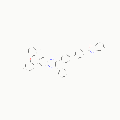 Cc1cc(C)c(-c2cc3nc(-c4ccccc4)c(-c4ccc(-c5ccc(-c6nc7ccccc7o6)cc5)cc4)nc3cc2-c2c(C)cc(C)cc2C)c(C)c1